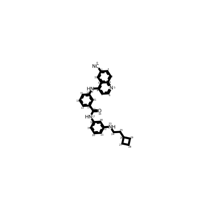 N#Cc1ccc2nccc(Nc3cccc(C(=O)Nc4cccc(NCCC5CCC5)c4)c3)c2c1